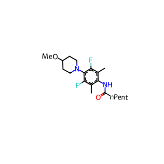 CCCCCC(=O)Nc1c(C)c(F)c(N2CCC(OC)CC2)c(F)c1C